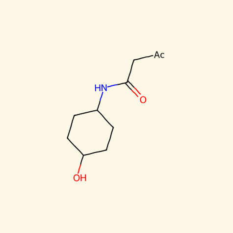 CC(=O)CC(=O)NC1CCC(O)CC1